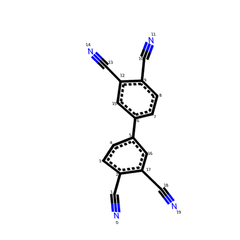 N#Cc1ccc(-c2ccc(C#N)c(C#N)c2)cc1C#N